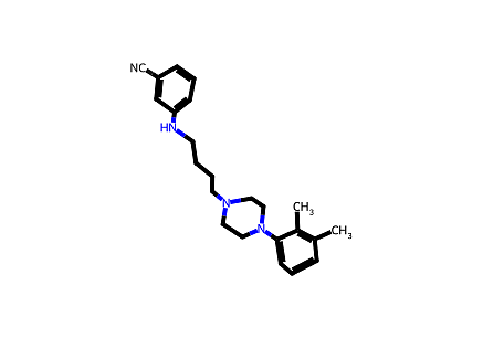 Cc1cccc(N2CCN(CCCCNc3cccc(C#N)c3)CC2)c1C